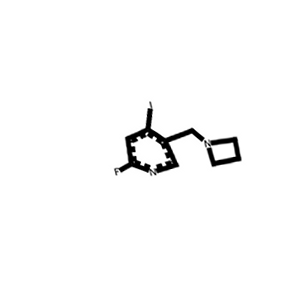 Fc1cc(I)c(CN2CCC2)cn1